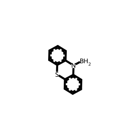 BN1c2ccccc2Sc2ccccc21